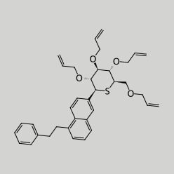 C=CCOC[C@H]1S[C@@H](c2ccc3c(CCc4ccccc4)cccc3c2)[C@H](OCC=C)[C@@H](OCC=C)[C@@H]1OCC=C